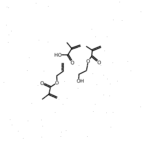 C=C(C)C(=O)O.C=C(C)C(=O)OCCO.C=CCOC(=O)C(=C)C